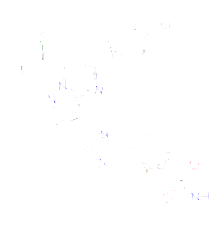 NS(=O)(=O)c1ccc(-c2noc(-c3cnn4c(C(F)F)cc(-c5ccc(Cl)cc5)nc34)n2)s1